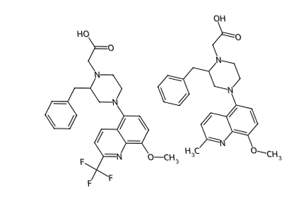 COc1ccc(N2CCN(CC(=O)O)C(Cc3ccccc3)C2)c2ccc(C(F)(F)F)nc12.COc1ccc(N2CCN(CC(=O)O)C(Cc3ccccc3)C2)c2ccc(C)nc12